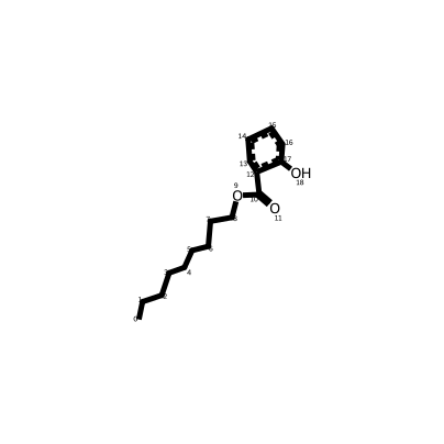 CCCCCCCCCOC(=O)c1ccccc1O